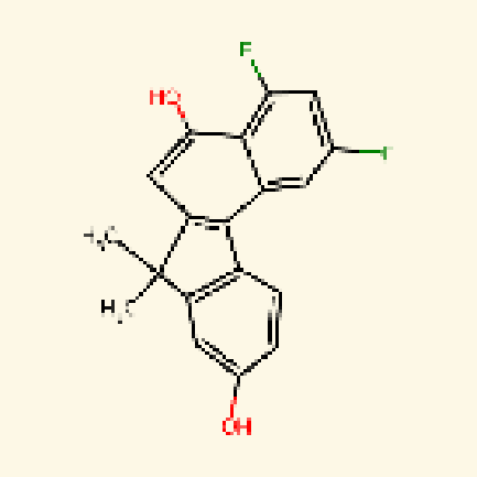 CC1(C)c2cc(O)ccc2-c2c1cc(O)c1c(F)cc(F)cc21